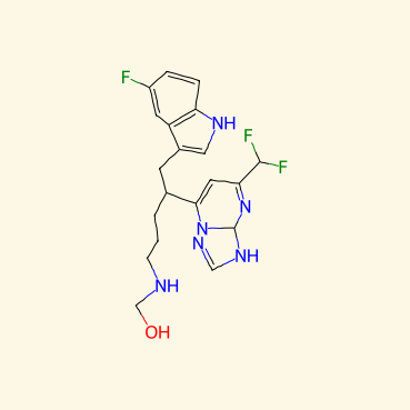 OCNCCCC(Cc1c[nH]c2ccc(F)cc12)C1=CC(C(F)F)=NC2NC=NN12